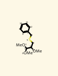 CO[C](OC)C(CSCc1ccccc1)OC